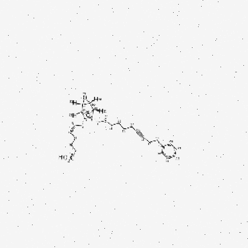 O=C(O)CCC/C=C\C[C@H]1[C@@H](CSCCCCC#CCCc2ccccc2)[C@@H]2O[C@H]1[C@@H]1O[C@@H]12